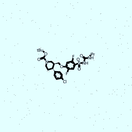 CC(C)NC(=O)NS(=O)(=O)c1cc(F)c(OC[C@@H]2CN(C(=O)OC(C)(C)C)CC[C@H]2c2ccc(Cl)cc2)cc1F